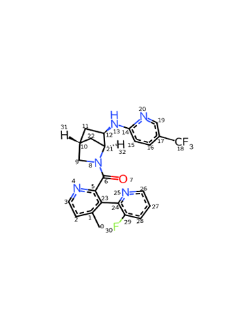 Cc1ccnc(C(=O)N2C[C@@H]3C[C@@H](Nc4ccc(C(F)(F)F)cn4)[C@@H]2C3)c1-c1ncccc1F